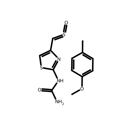 COc1ccc(C)cc1.NC(=O)Nc1nc(C=S=O)cs1